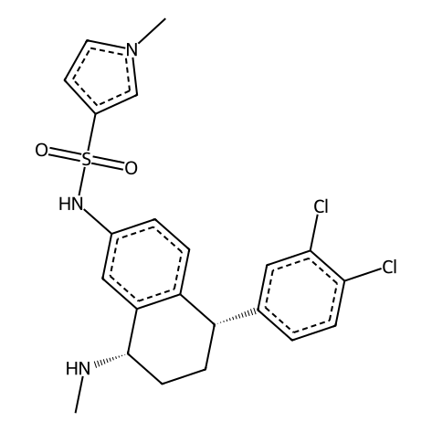 CN[C@H]1CC[C@@H](c2ccc(Cl)c(Cl)c2)c2ccc(NS(=O)(=O)c3ccn(C)c3)cc21